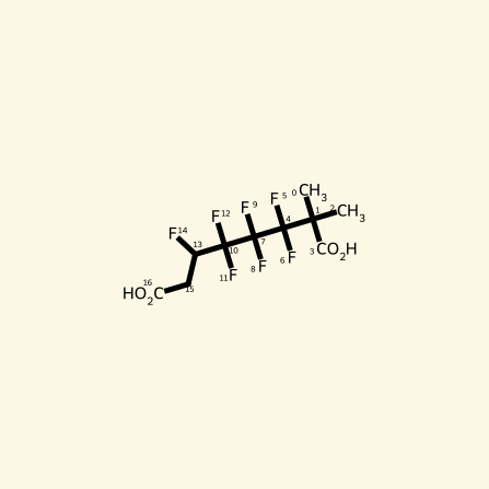 CC(C)(C(=O)O)C(F)(F)C(F)(F)C(F)(F)C(F)CC(=O)O